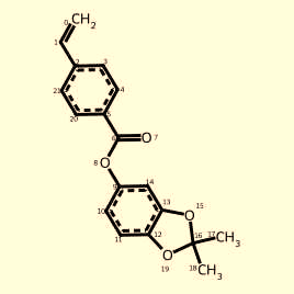 C=Cc1ccc(C(=O)Oc2ccc3c(c2)OC(C)(C)O3)cc1